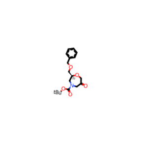 CC(C)(C)OC(=O)N1CC(=O)CO[C@H](COCc2ccccc2)C1